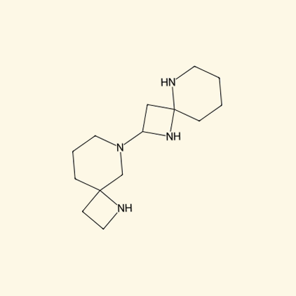 C1CCC2(CC(N3CCCC4(CCN4)C3)N2)NC1